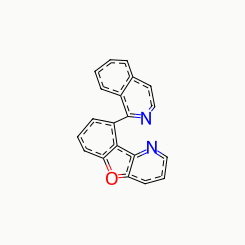 c1ccc2c(-c3cccc4oc5cccnc5c34)nccc2c1